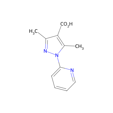 Cc1nn(-c2ccccn2)c(C)c1C(=O)O